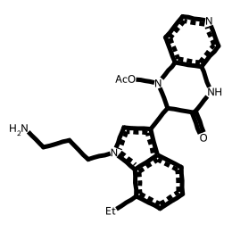 CCc1cccc2c(C3C(=O)Nc4cnccc4N3OC(C)=O)cn(CCCN)c12